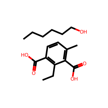 CCCCCCO.CCc1c(C(=O)O)ccc(C)c1C(=O)O